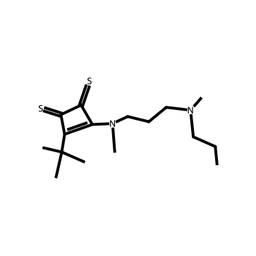 CCCN(C)CCCN(C)c1c(C(C)(C)C)c(=S)c1=S